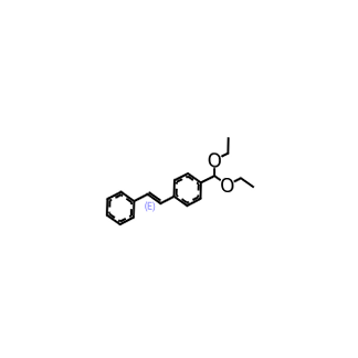 CCOC(OCC)c1ccc(/C=C/c2ccccc2)cc1